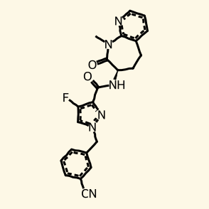 CN1C(=O)[C@H](NC(=O)c2nn(Cc3cccc(C#N)c3)cc2F)CCc2cccnc21